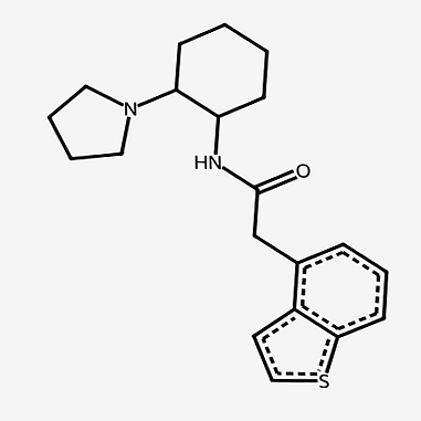 O=C(Cc1cccc2sccc12)NC1CCCCC1N1CCCC1